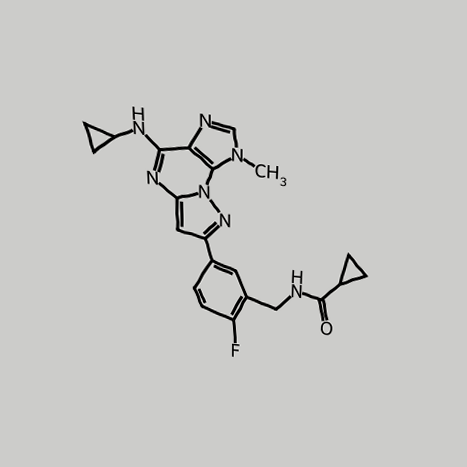 Cn1cnc2c(NC3CC3)nc3cc(-c4ccc(F)c(CNC(=O)C5CC5)c4)nn3c21